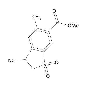 COC(=O)c1cc2c(cc1C)C(C#N)CS2(=O)=O